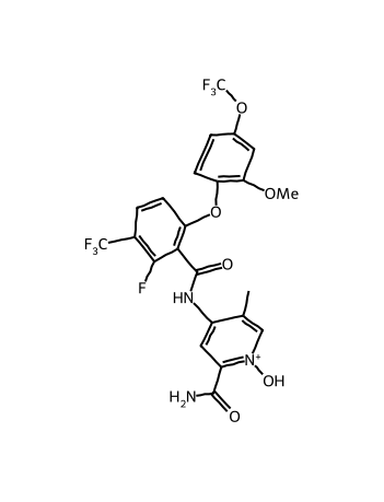 COc1cc(OC(F)(F)F)ccc1Oc1ccc(C(F)(F)F)c(F)c1C(=O)Nc1cc(C(N)=O)[n+](O)cc1C